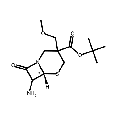 COCC1(C(=O)OC(C)(C)C)CS[C@@H]2C(N)C(=O)N2C1